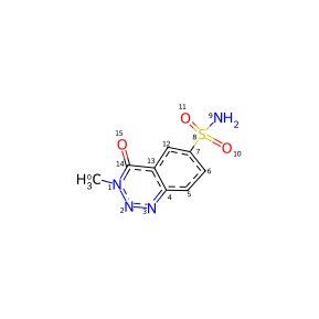 Cn1nnc2ccc(S(N)(=O)=O)cc2c1=O